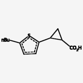 CCCCc1ccc(C2CC2C(=O)O)s1